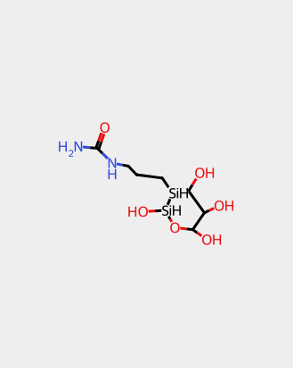 NC(=O)NCCC[SiH]1C(O)C(O)C(O)O[SiH]1O